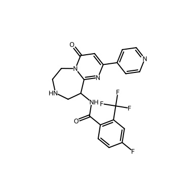 O=C(NC1CNCCn2c1nc(-c1ccncc1)cc2=O)c1ccc(F)cc1C(F)(F)F